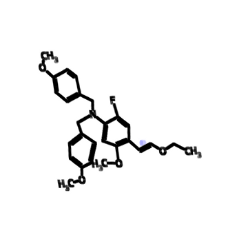 CCO/C=C/c1cc(F)c(N(Cc2ccc(OC)cc2)Cc2ccc(OC)cc2)cc1OC